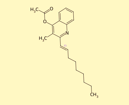 CCCCCCC/C=C/c1nc2ccccc2c(OC(C)=O)c1C